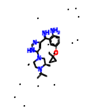 CC(C)N1CCN(C2C=C(C(=N)c3cc(OC4(C)CC4)ccc3N)N=CN2)C[C@H]1C